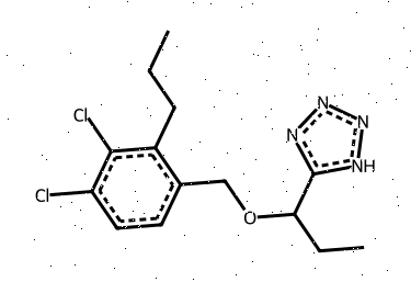 CCCc1c(COC(CC)c2nnn[nH]2)ccc(Cl)c1Cl